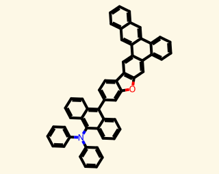 c1ccc(N(c2ccccc2)c2c3ccccc3c(-c3ccc4c(c3)oc3cc5c6ccccc6c6cc7ccccc7cc6c5cc34)c3ccccc23)cc1